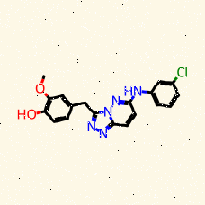 COc1cc(Cc2nnc3ccc(Nc4cccc(Cl)c4)nn23)ccc1O